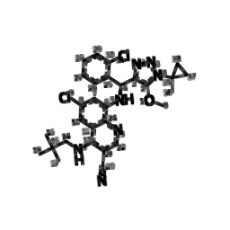 COc1c([C@@H](Nc2cc(Cl)cc3c(NCC(C)(C)C)c(C#N)cnc23)c2ccccc2Cl)nnn1C1(C)CC1